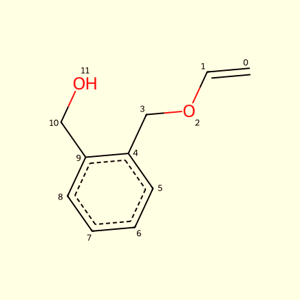 C=COCc1ccccc1CO